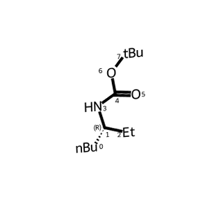 CCCC[C@@H](CC)NC(=O)OC(C)(C)C